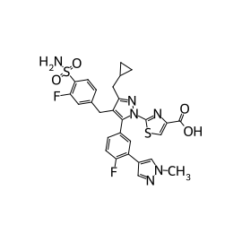 Cn1cc(-c2cc(-c3c(Cc4ccc(S(N)(=O)=O)c(F)c4)c(CC4CC4)nn3-c3nc(C(=O)O)cs3)ccc2F)cn1